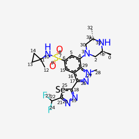 C[C@H]1CN(c2cc(S(=O)(=O)NC3(C)CC3)cc3c(-c4nnc(C(F)F)[se]4)nn(C)c23)C[C@H](C)N1